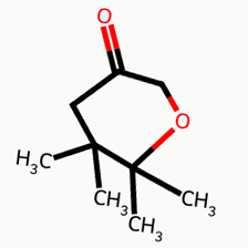 CC1(C)CC(=O)COC1(C)C